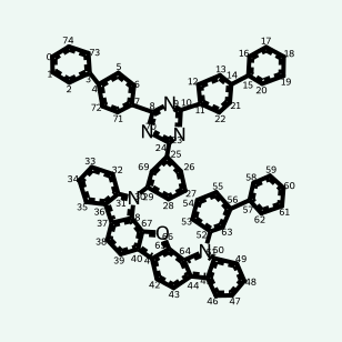 c1ccc(-c2ccc(-c3nc(-c4ccc(-c5ccccc5)cc4)nc(-c4cccc(-n5c6ccccc6c6ccc7c8ccc9c%10ccccc%10n(-c%10cccc(-c%11ccccc%11)c%10)c9c8oc7c65)c4)n3)cc2)cc1